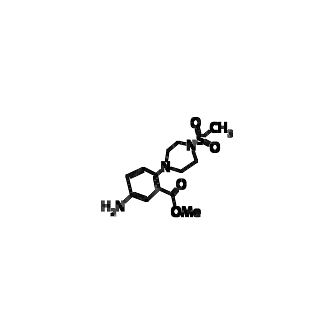 COC(=O)c1cc(N)ccc1N1CCN(S(C)(=O)=O)CC1